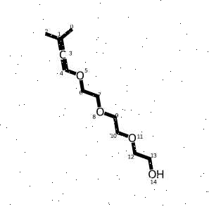 CC(C)=C=COCCOCCOCCO